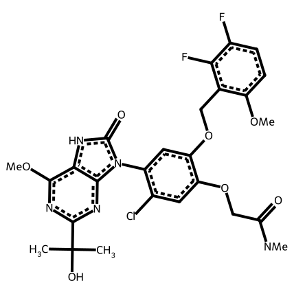 CNC(=O)COc1cc(Cl)c(-n2c(=O)[nH]c3c(OC)nc(C(C)(C)O)nc32)cc1OCc1c(OC)ccc(F)c1F